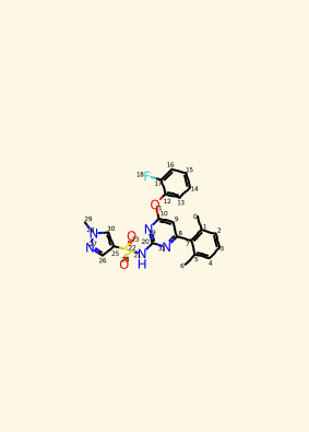 Cc1cccc(C)c1-c1cc(Oc2ccccc2F)nc(NS(=O)(=O)c2cnn(C)c2)n1